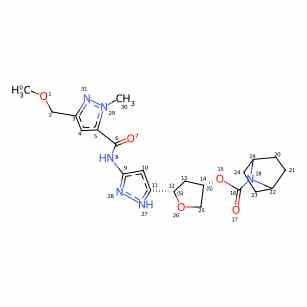 COCc1cc(C(=O)Nc2cc([C@@H]3C[C@H](OC(=O)N4C5CCC4CC5)CO3)[nH]n2)n(C)n1